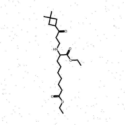 CCOC(=O)CCCCCCC(NCCC(=O)C1CC(C)(C)C1)C(=O)OCC